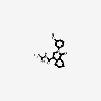 COc1cccc(-n2cc(C(=O)NC(=N)N)c3ccccc3c2=O)c1